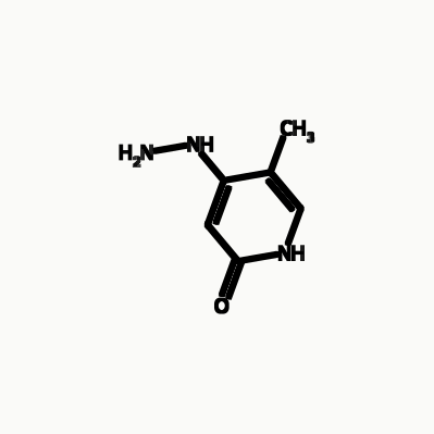 Cc1c[nH]c(=O)cc1NN